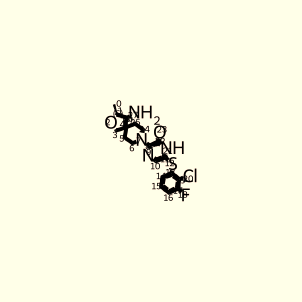 C[C@@H]1OCC2(CCN(c3ncc(Sc4cccc(F)c4Cl)[nH]c3=O)CC2)[C@@H]1N